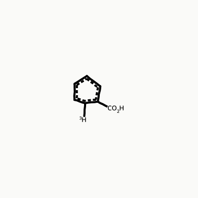 [3H]c1ccccc1C(=O)O